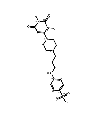 Cn1c(N2CCN(CCCOc3ccc(S(C)(=O)=O)cc3)CC2)cc(=O)n(C)c1=O